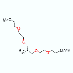 COCCOCCOCC(C)COCCOCCOC